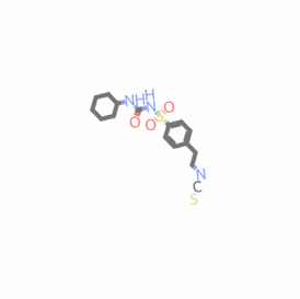 O=C(NC1CCCCC1)NS(=O)(=O)c1ccc(CCN=C=S)cc1